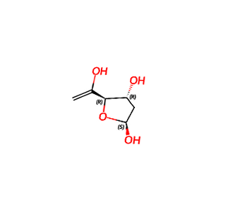 C=C(O)[C@@H]1O[C@H](O)C[C@H]1O